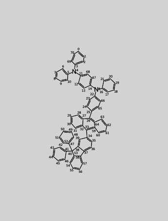 c1ccc(N(c2ccccc2)c2ccc(N(c3ccccc3)c3ccc(-c4c5ccccc5c(-c5ccc6c(c5)C(c5ccccc5)(c5ccccc5)c5ccccc5-6)c5ccccc45)cc3)cc2)cc1